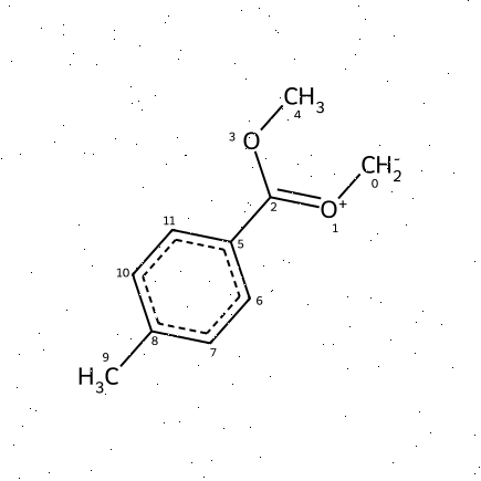 [CH2-]/[O+]=C(\OC)c1ccc(C)cc1